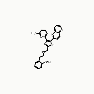 COc1ccccc1CCNCc1nc(-c2cccc(C)n2)c(-c2ccc3ncccc3n2)[nH]1